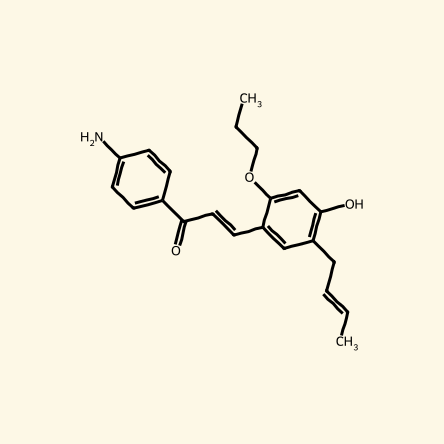 C/C=C/Cc1cc(/C=C/C(=O)c2ccc(N)cc2)c(OCCC)cc1O